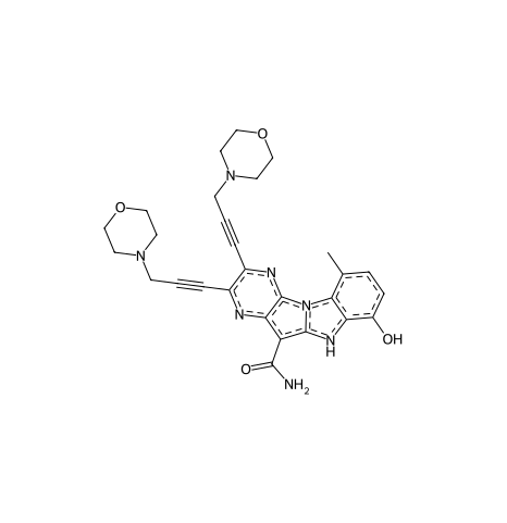 Cc1ccc(O)c2[nH]c3c(C(N)=O)c4nc(C#CCN5CCOCC5)c(C#CCN5CCOCC5)nc4n3c12